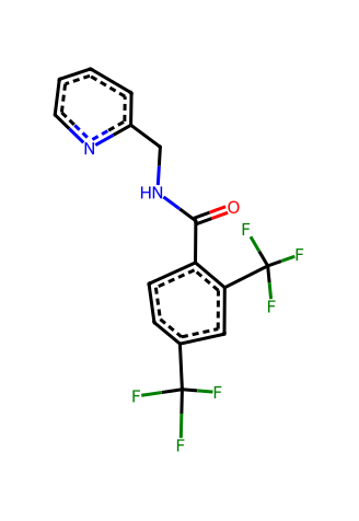 O=C(NCc1ccccn1)c1ccc(C(F)(F)F)cc1C(F)(F)F